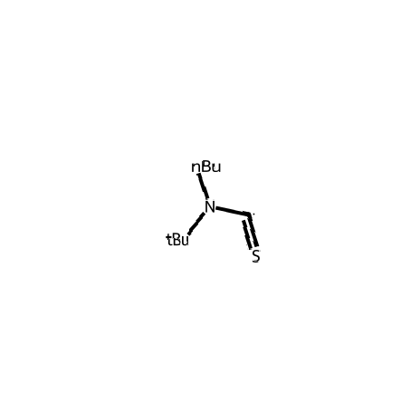 CCCCN([C]=S)C(C)(C)C